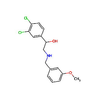 COc1cccc(CNCC(O)c2ccc(Cl)c(Cl)c2)c1